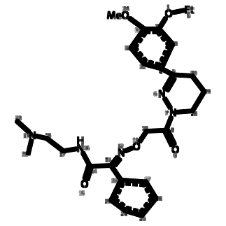 CCOc1cc(C2=NN(C(=O)CO/N=C(/C(=O)NCCN(C)C)c3ccccc3)CCC2)ccc1OC